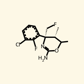 CC1OC(N)=N[C@@](CF)(c2cccc(Cl)c2F)[C@@H]1C